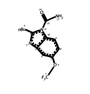 CCCCc1nc2cc(OC(F)(F)F)ccc2n1C(N)=O